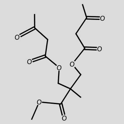 COC(=O)C(C)(COC(=O)CC(C)=O)COC(=O)CC(C)=O